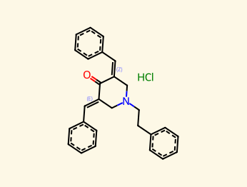 Cl.O=C1/C(=C\c2ccccc2)CN(CCc2ccccc2)C/C1=C\c1ccccc1